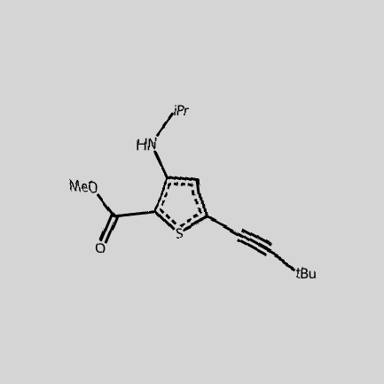 COC(=O)c1sc(C#CC(C)(C)C)cc1NC(C)C